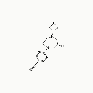 C#Cc1ccc(N2CCN(C3COC3)CC(CC)C2)nc1